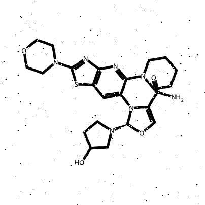 NC(=O)C1=CO[C@@H](N2CCC(O)C2)N1c1cc2sc(N3CCOCC3)nc2nc1N1CCCCC1